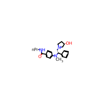 CCCNC(=O)c1ccc(N(C)[C@H](CN2CC[C@H](O)C2)c2ccccc2)cc1